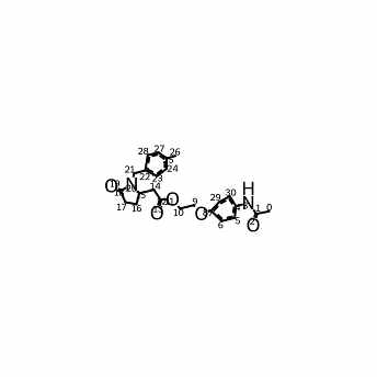 CC(=O)Nc1ccc(OCCOC(=O)CC2CCC(=O)N2Cc2ccc(C)cc2)cc1